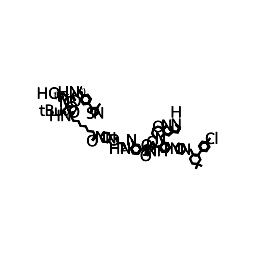 Cc1ncsc1-c1ccc([C@H](C)NC(=O)[C@@H]2C[C@@H](O)CN2C(=O)[C@@H](NC(=O)CCCCCCC(=O)N2CCN(CCCNc3ccc(S(=O)(=O)NC(=O)c4ccc(N5CCN(CC6=C(c7ccc(Cl)cc7)CC(C)(C)CC6)CC5)cc4N4CCCOc5nc6[nH]ccc6cc54)cc3[N+](=O)[O-])CC2)C(C)(C)C)cc1